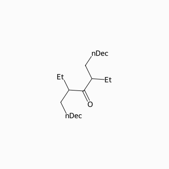 CCCCCCCCCCCC(CC)C(=O)C(CC)CCCCCCCCCCC